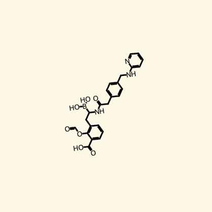 O=COc1c(CC(NC(=O)Cc2ccc(CNc3ccccn3)cc2)B(O)O)cccc1C(=O)O